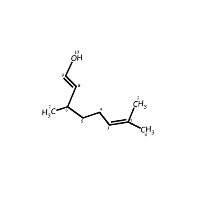 CC(C)=CCCC(C)C=CO